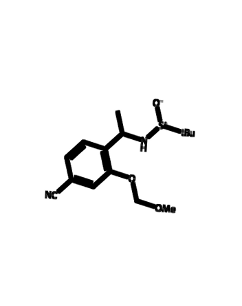 COCOc1cc(C#N)ccc1C(C)N[S+]([O-])C(C)(C)C